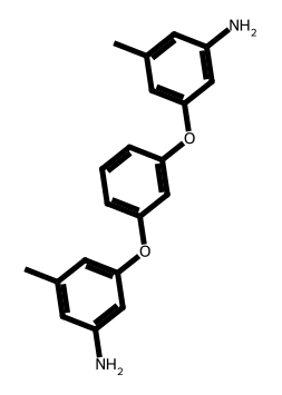 Cc1cc(N)cc(Oc2cccc(Oc3cc(C)cc(N)c3)c2)c1